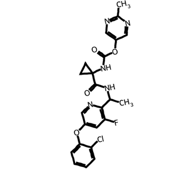 Cc1ncc(OC(=O)NC2(C(=O)NC(C)c3ncc(Oc4ccccc4Cl)cc3F)CC2)cn1